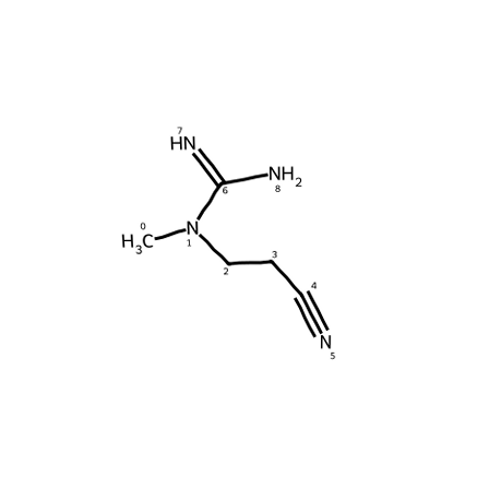 CN(CCC#N)C(=N)N